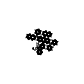 CC1(C)c2ccccc2-c2ccc(-c3c4cc(N(c5ccccc5)c5ccccc5)ccc4c(-c4cccc5ccccc45)c4cc(N(c5ccccc5)c5ccc6ccccc6c5)ccc34)cc21